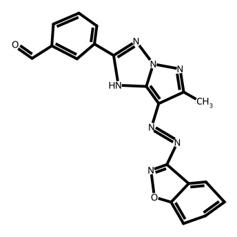 Cc1nn2nc(-c3cccc(C=O)c3)[nH]c2c1N=Nc1noc2ccccc12